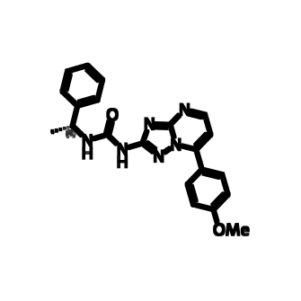 COc1ccc(-c2ccnc3nc(NC(=O)N[C@H](C)c4ccccc4)nn23)cc1